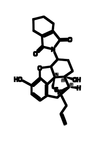 C=CCN1CC[C@]23c4c5ccc(O)c4OC2C(N2C(=O)C4=C(CCCC4)C2=O)CC[C@@]3(O)[C@H]1C5